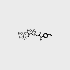 C=Cc1ccc(NC(=O)CN(CCN(CC(=O)O)CC(=O)O)CC(=O)O)cc1